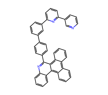 c1cncc(-c2cccc(-c3cccc(-c4ccc(-c5nc6ccccc6c6c7ccccc7c7ccccc7c56)cc4)c3)n2)c1